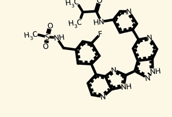 CC(C)C(=O)Nc1cncc(-c2cc3c(-c4nc5c(-c6cc(F)cc(CNS(C)(=O)=O)c6)ccnc5[nH]4)n[nH]c3cn2)c1